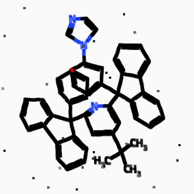 CC(C)(C)c1cc(C2(c3ccccc3)c3ccccc3-c3ccccc32)nc(C2(c3cccc(-n4ccnc4)c3)c3ccccc3-c3ccccc32)c1